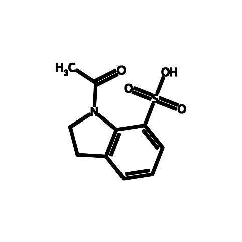 CC(=O)N1CCc2cccc(S(=O)(=O)O)c21